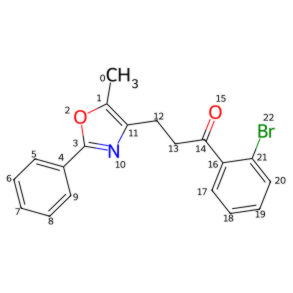 Cc1oc(-c2ccccc2)nc1CCC(=O)c1ccccc1Br